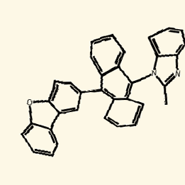 Cc1nc2ccccc2n1-c1c2ccccc2c(-c2ccc3oc4ccccc4c3c2)c2ccccc12